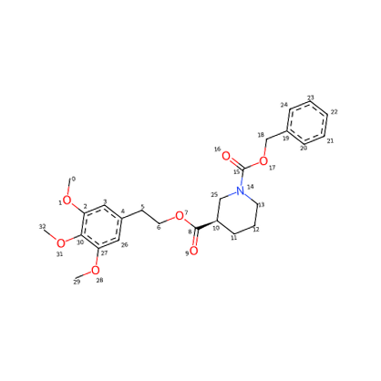 COc1cc(CCOC(=O)[C@@H]2CCCN(C(=O)OCc3ccccc3)C2)cc(OC)c1OC